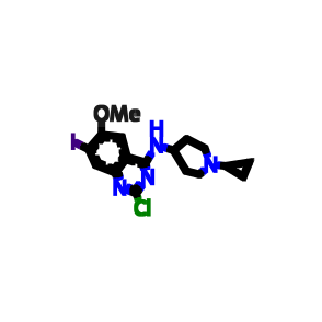 COc1cc2c(NC3CCN(C4CC4)CC3)nc(Cl)nc2cc1I